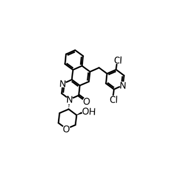 O=c1c2cc(Cc3cc(Cl)ncc3Cl)c3ccccc3c2ncn1[C@H]1CCOC[C@@H]1O